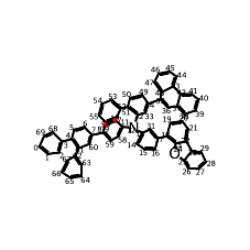 c1ccc(-c2ccc(-c3ccc(N(c4cccc(-c5cccc6c5oc5ccccc56)c4)c4cc(-c5cc6ccccc6c6ccccc56)ccc4-c4ccccc4)cc3)cc2-c2ccccc2)cc1